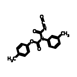 Cc1ccc(OC(=O)N(C(=O)N=C=O)c2cccc(C)c2)cc1